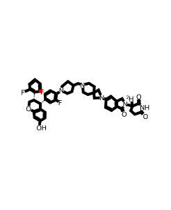 [2H]C1(N2Cc3cc(N4CC5(CCN(CC6CCN(c7ccc([C@@H]8c9ccc(O)cc9OC[C@@H]8c8c(F)cccc8F)cc7F)CC6)CC5)C4)ccc3C2=O)CCC(=O)NC1=O